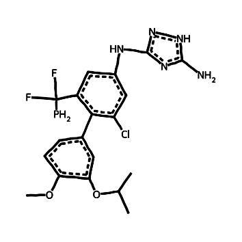 COc1ccc(-c2c(Cl)cc(Nc3n[nH]c(N)n3)cc2C(F)(F)P)cc1OC(C)C